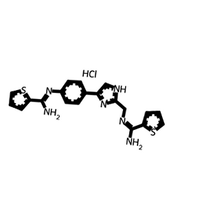 Cl.N/C(=N\c1ccc(-c2c[nH]c(C/N=C(/N)c3cccs3)n2)cc1)c1cccs1